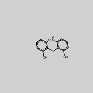 Oc1cccc(O)c1Sc1c(O)cccc1O